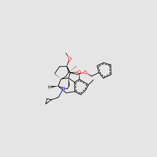 CO[C@]12CC[C@@]3(C[C@]1(C)COCc1ccccc1)[C@H]1Cc4ccc(C)c5c4[C@@]3(CCN1CC1CC1)C2O5